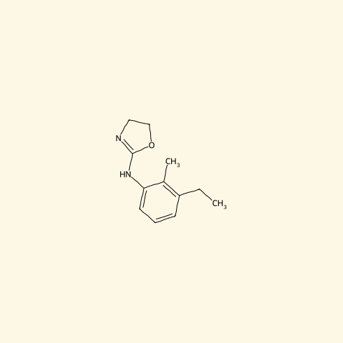 CCc1cccc(NC2=NCCO2)c1C